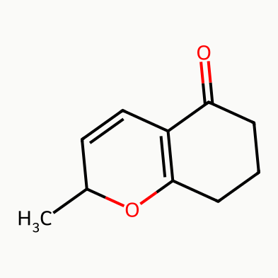 CC1C=CC2=C(CCCC2=O)O1